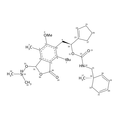 COc1c(C)c2c(c(C(C)(C)C)c1C[C@H](OC(=O)NC[C@@]1(C)C=CC=CC1)C1=CCCC1)C(=O)OC2O[SiH](C)C